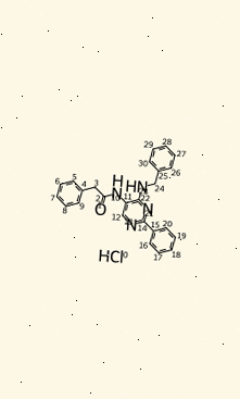 Cl.O=C(Cc1ccccc1)Nc1cnc(-c2ccccc2)nc1NCc1ccccc1